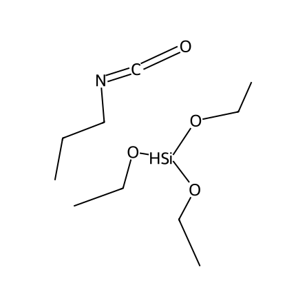 CCCN=C=O.CCO[SiH](OCC)OCC